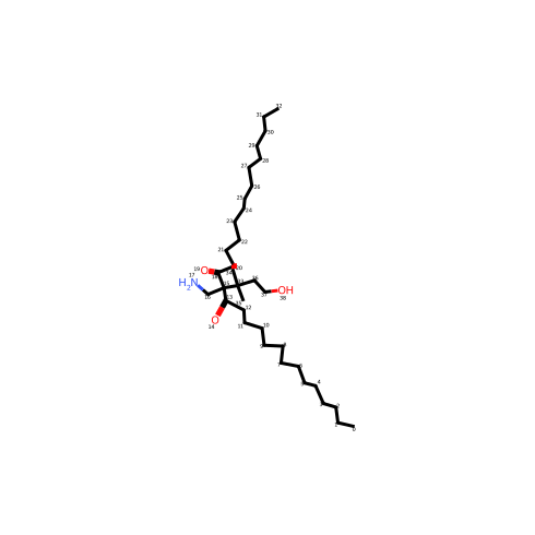 CCCCCCCCCCCCCC(=O)C(CN)(C(=O)CCCCCCCCCCCCC)C(C)(C)CCO